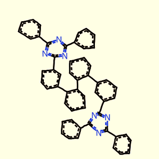 c1ccc(-c2nc(-c3ccccc3)nc(-c3cccc(-c4ccccc4-c4ccccc4-c4cccc(-c5nc(-c6ccccc6)nc(-c6ccccc6)n5)c4)c3)n2)cc1